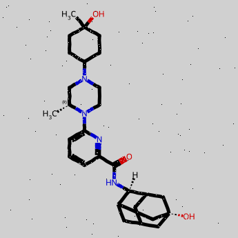 C[C@@H]1CN(C2CCC(C)(O)CC2)CCN1c1cccc(C(=O)N[C@H]2C3CC4CC2C[C@](O)(C4)C3)n1